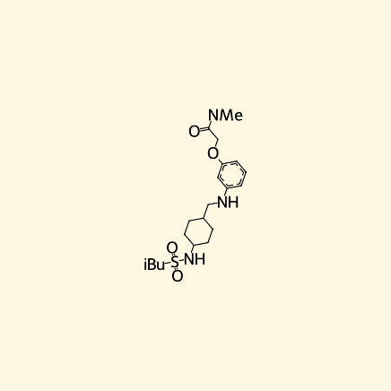 CCC(C)S(=O)(=O)NC1CCC(CNc2cccc(OCC(=O)NC)c2)CC1